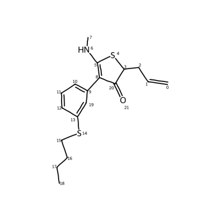 C=CCC1SC(NC)=C(c2cccc(SCCCC)c2)C1=O